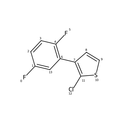 Fc1ccc(F)c(-c2ccsc2Cl)c1